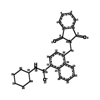 O=C1c2ccccc2C(=O)N1Cc1ccc([S+]([O-])NC2CCCCC2)c2ccccc12